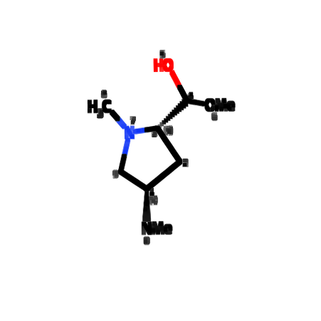 CN[C@@H]1C[C@@H](C(O)OC)N(C)C1